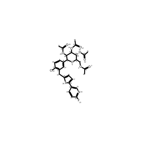 CC(=O)OCC1OC(c2ccc(Cl)c(Cc3ccc(-c4ccc(F)nc4)s3)c2)C(OC(C)=O)C(OC(C)=O)[C@@H]1OC(C)=O